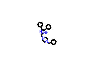 c1ccc(CN2CCN(Cc3nc(-c4ccccc4)c(-c4ccccc4)[nH]3)CC2)cc1